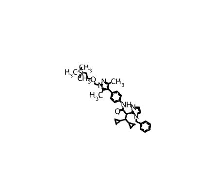 Cc1nn(COCC[Si](C)(C)C)c(C)c1-c1ccc(NC(=O)C(c2nccn2Cc2ccccc2)C(C2CC2)C2CC2)cc1